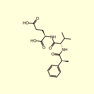 CC(C)[C@H](NC(=O)[C@@H](C)c1ccccc1)C(=O)N[C@H](CCC(=O)O)C(=O)O